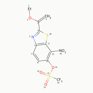 C=C(OCC)c1nc2ccc(OS(=O)(=O)C(F)(F)F)c([N+](=O)[O-])c2s1